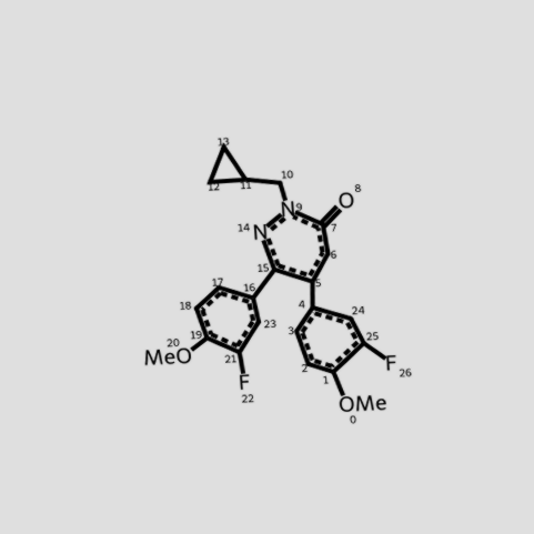 COc1ccc(-c2cc(=O)n(CC3CC3)nc2-c2ccc(OC)c(F)c2)cc1F